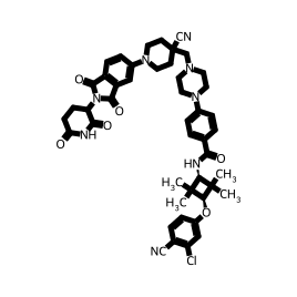 CC1(C)[C@H](NC(=O)c2ccc(N3CCN(CC4(C#N)CCN(c5ccc6c(c5)C(=O)N(C5CCC(=O)NC5=O)C6=O)CC4)CC3)cc2)C(C)(C)[C@H]1Oc1ccc(C#N)c(Cl)c1